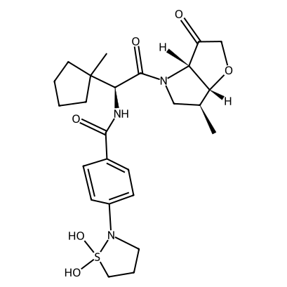 C[C@H]1CN(C(=O)[C@@H](NC(=O)c2ccc(N3CCCS3(O)O)cc2)C2(C)CCCC2)[C@@H]2C(=O)CO[C@@H]21